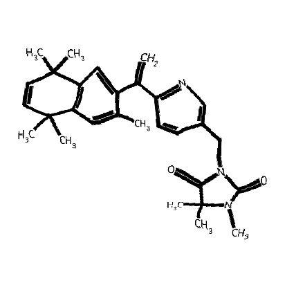 C=C(c1ccc(CN2C(=O)N(C)C(C)(C)C2=O)cn1)c1cc2c(cc1C)C(C)(C)C=CC2(C)C